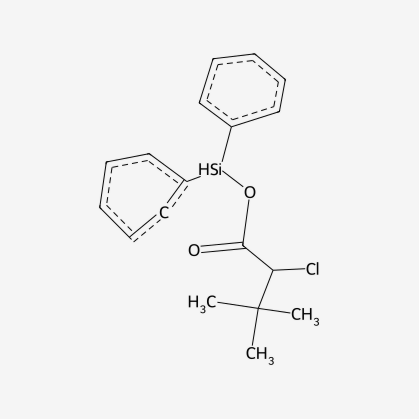 CC(C)(C)C(Cl)C(=O)O[SiH](c1ccccc1)c1ccccc1